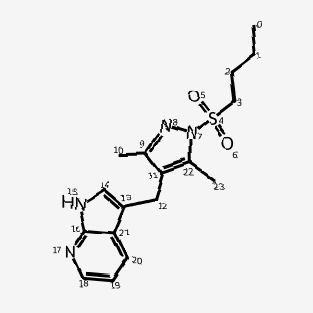 CCCCS(=O)(=O)n1nc(C)c(Cc2c[nH]c3ncccc23)c1C